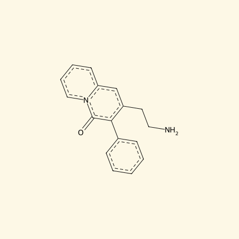 NCCc1cc2ccccn2c(=O)c1-c1ccccc1